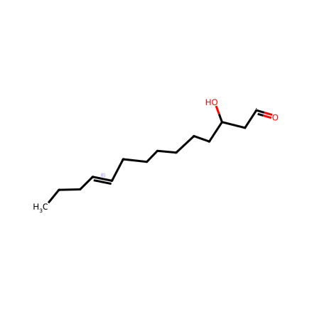 CCC/C=C/CCCCCCC(O)C[C]=O